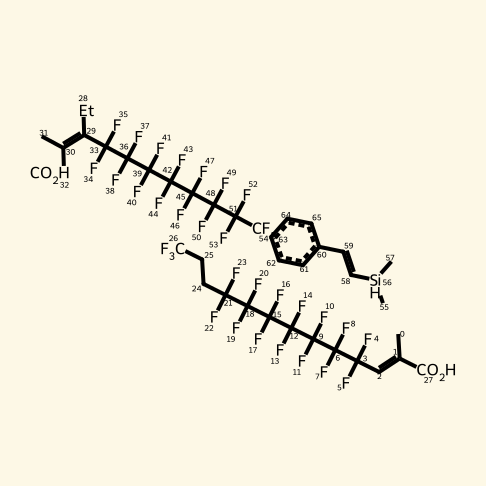 CC(=CC(F)(F)C(F)(F)C(F)(F)C(F)(F)C(F)(F)C(F)(F)C(F)(F)CCC(F)(F)F)C(=O)O.CCC(=C(C)C(=O)O)C(F)(F)C(F)(F)C(F)(F)C(F)(F)C(F)(F)C(F)(F)C(F)(F)C(F)(F)F.C[SiH](C)C=Cc1ccccc1